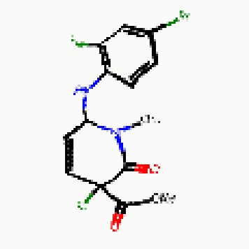 COC(=O)C1(Cl)C=CC(Nc2ccc(Br)cc2F)N(C)C1=O